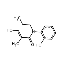 CCCN(C(=O)C(C)=CO)c1ccccc1O